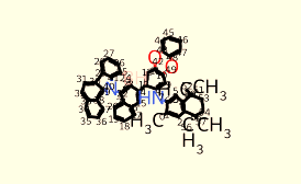 Cc1cc2c(cc1Nc1cc3c(cc1-c1cc4ccccc4c4c1Bc1cccc5c6ccc7ccccc7c6n-4c15)Oc1ccccc1O3)C(C)(C)CCC2(C)C